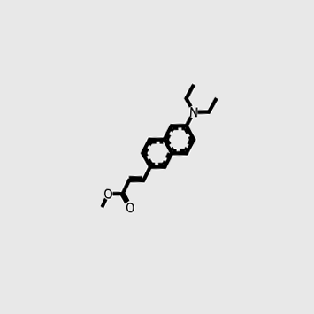 CCN(CC)c1ccc2cc(/C=C/C(=O)OC)ccc2c1